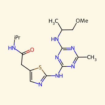 COCC(C)Nc1nc(C)nc(Nc2ncc(CC(=O)NC(C)C)s2)n1